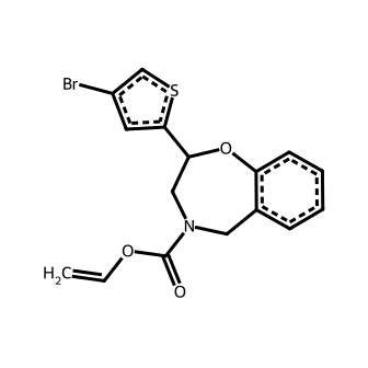 C=COC(=O)N1Cc2ccccc2OC(c2cc(Br)cs2)C1